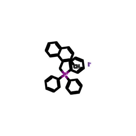 Cc1ccc2ccccc2c1C[P+](c1ccccc1)(c1ccccc1)c1ccccc1.[I-]